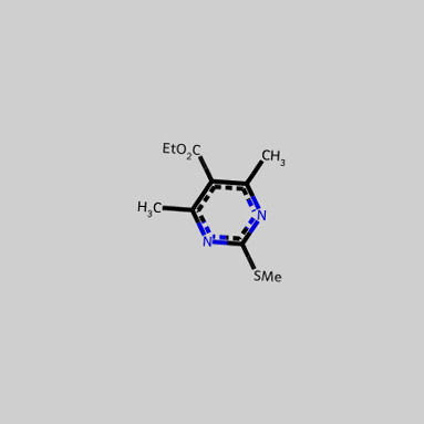 CCOC(=O)c1c(C)nc(SC)nc1C